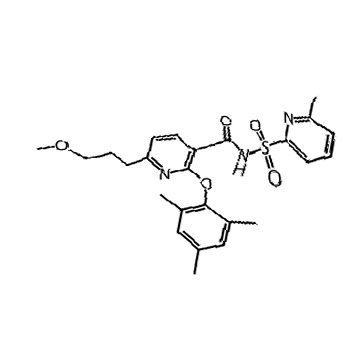 COCCCc1ccc(C(=O)NS(=O)(=O)c2cccc(C)n2)c(Oc2c(C)cc(C)cc2C)n1